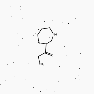 CCC(=O)C1CNCCC[N]1